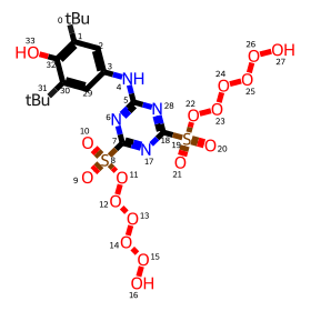 CC(C)(C)c1cc(Nc2nc(S(=O)(=O)OOOOOO)nc(S(=O)(=O)OOOOOO)n2)cc(C(C)(C)C)c1O